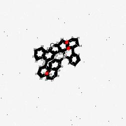 c1ccc(-c2ccccc2N(c2ccc3ccccc3c2)c2cccc3oc4c5ccccc5c(-c5ccccc5)cc4c23)cc1